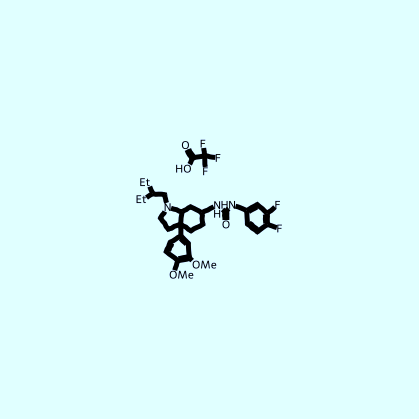 CCC(CC)CN1CCC2(c3ccc(OC)c(OC)c3)CCC(NC(=O)Nc3ccc(F)c(F)c3)CC12.O=C(O)C(F)(F)F